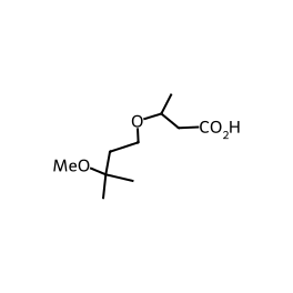 COC(C)(C)CCOC(C)CC(=O)O